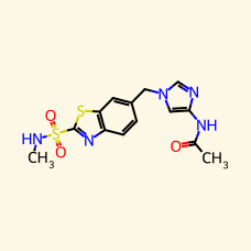 CNS(=O)(=O)c1nc2ccc(Cn3cnc(NC(C)=O)c3)cc2s1